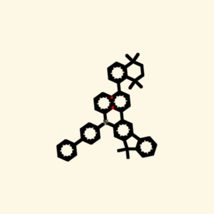 CC1(C)CCC(C)(C)c2c(-c3ccc(-c4cc5c(cc4N(c4ccccc4)c4ccc(-c6ccccc6)cc4)C(C)(C)c4ccccc4-5)cc3)cccc21